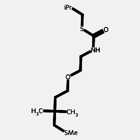 CSCC(C)(C)CCOCCNC(=O)SCC(C)C